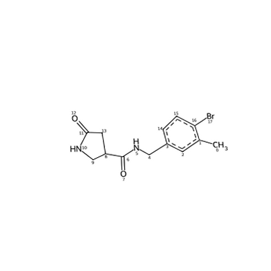 Cc1cc(CNC(=O)C2CNC(=O)C2)ccc1Br